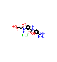 COc1ccc(C(Nc2ccc(C(=N)N)cc2)C(=O)O)cc1NC(=O)CCC(=O)O.Cl